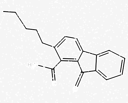 CCCCCc1ccc2c(c1C(N)=O)C(=O)c1ccccc1-2